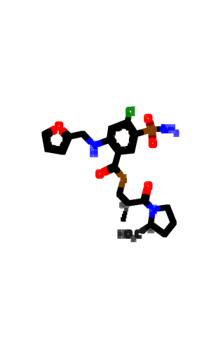 C[C@H](CSC(=O)c1cc(S(N)(=O)=O)c(Cl)cc1NCc1ccco1)C(=O)N1CCC[C@H]1C(=O)O